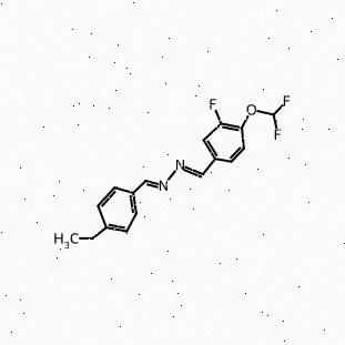 CCc1ccc(C=NN=Cc2ccc(OC(F)F)c(F)c2)cc1